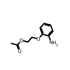 CC(=O)OCCOc1ccccc1N